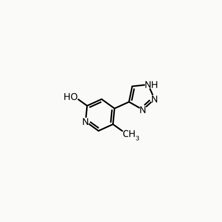 Cc1cnc(O)cc1-c1c[nH]nn1